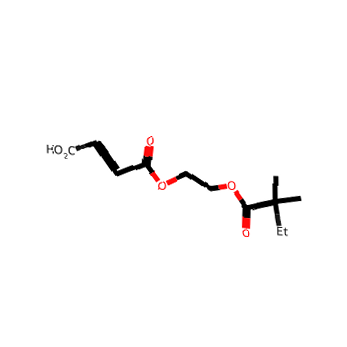 CCC(C)(C)C(=O)OCCOC(=O)/C=C/C(=O)O